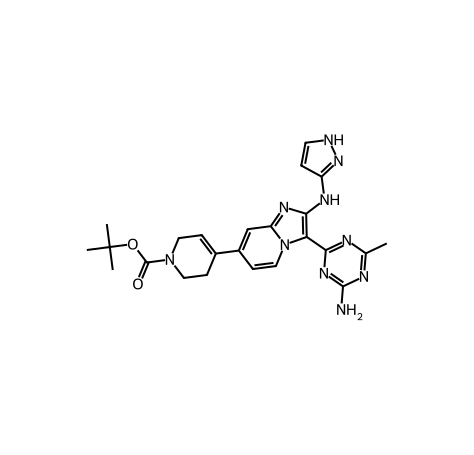 Cc1nc(N)nc(-c2c(Nc3cc[nH]n3)nc3cc(C4=CCN(C(=O)OC(C)(C)C)CC4)ccn23)n1